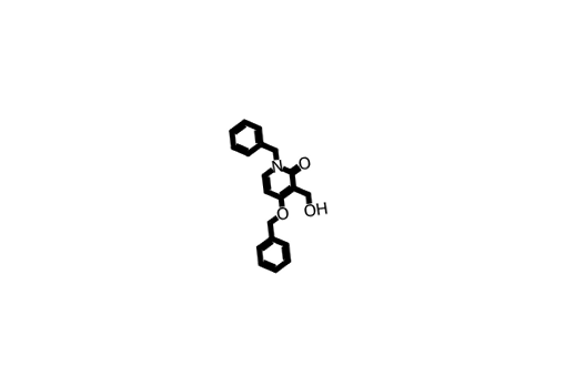 O=c1c(CO)c(OCc2ccccc2)ccn1Cc1ccccc1